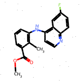 COC(=O)c1cccc(Nc2ccnc3ccc(F)cc23)c1C